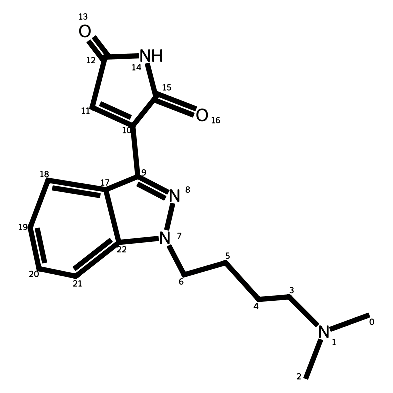 CN(C)CCCCn1nc(C2=CC(=O)NC2=O)c2ccccc21